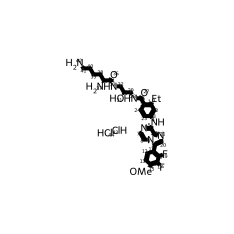 CCc1cc(Nc2nccn3c(-c4ccc(OC)c(F)c4F)cnc23)ccc1C(=O)NC[C@@H](O)CNC(=O)[C@H](N)CCCCN.Cl.Cl